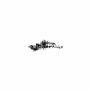 CCCCCCCCCCCCNC(=O)C(C)(CC(C)C(=O)SCCCCCCCC)CC(CC(C#N)CC(C)(CC)C(=O)OC1CC2CCC1C2)C(N)=O